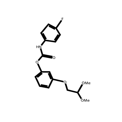 COC(COc1cccc(OC(=O)Nc2ccc(F)cc2)c1)OC